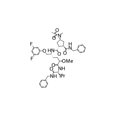 CO[C@H](CC[C@H](COc1cc(F)cc(F)c1)NC(=O)[C@@H]1C[C@@H](N(C)S(C)(=O)=O)C[C@H]1C(=O)NCc1ccccc1)C(=O)N[C@H](C(=O)NCc1ccccc1)C(C)C